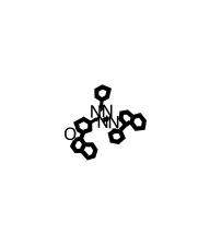 c1ccc(-c2nc(-c3ccc4oc5ccc6ccccc6c5c4c3)nc(-n3c4ccccc4c4c5ccccc5ccc43)n2)cc1